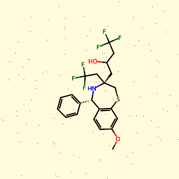 COc1ccc2c(c1)SC[C@@](CC(O)CC(F)(F)F)(CC(F)(F)F)N[C@H]2c1ccccc1